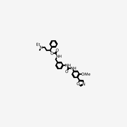 CCN(C)CCC(OC(=O)NCc1cccc(NC(=O)Nc2ccc(-c3cnco3)c(OC)c2)c1)c1ccccc1